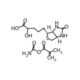 C=C(C)C(=O)OC(N)=O.O=C1N[C@H]2[C@H](CS[C@H]2CCCC(O)C(=O)O)N1